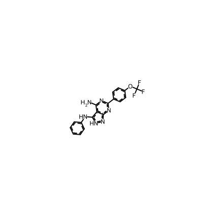 Nc1nc(-c2ccc(OC(F)(F)F)cc2)nc2n[nH]c(Nc3ccccc3)c12